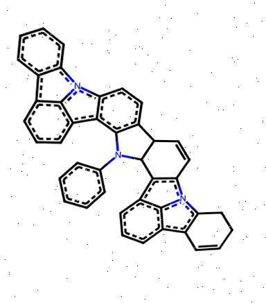 C1=Cc2c(n3c4c(c5cccc2c53)C2C(C=C4)c3ccc4c(c3N2c2ccccc2)c2cccc3c5ccccc5n4c32)CC1